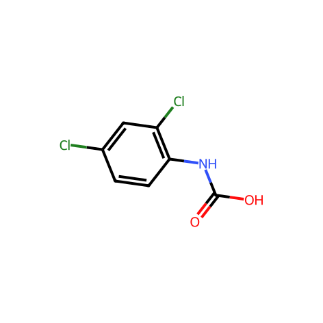 O=C(O)Nc1ccc(Cl)cc1Cl